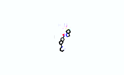 CC1c2ccc(-c3ccccn3)cc2CC1C(=O)N1CCc2cc(F)c(S(N)(=O)=O)cc21